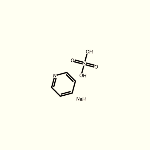 O=S(=O)(O)O.[NaH].c1ccncc1